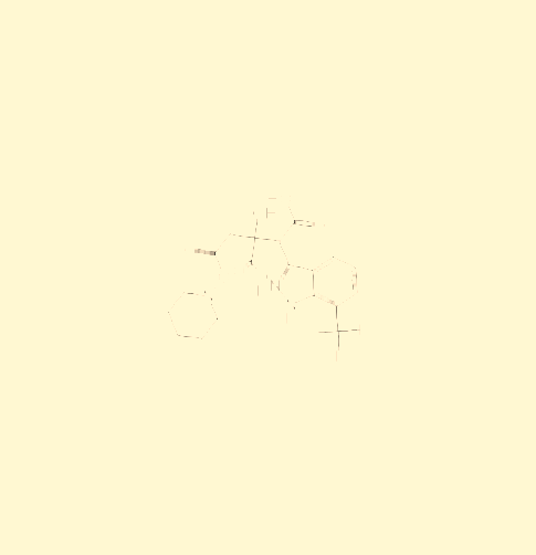 O=C(CC(O)(C(=O)O)C(C(=O)O)c1n[nH]c2c(C(F)(F)F)cccc12)ON1CCCCC1